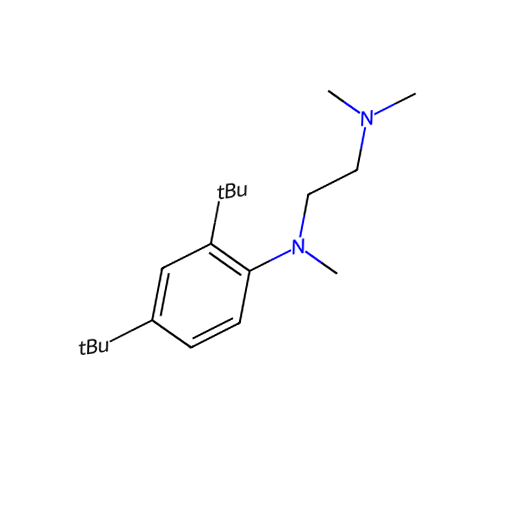 CN(C)CCN(C)c1ccc(C(C)(C)C)cc1C(C)(C)C